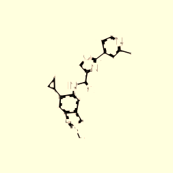 Cc1cc(-c2nc(C(=O)Nc3cc4cn(C)nc4cc3C3CC3)co2)ccn1